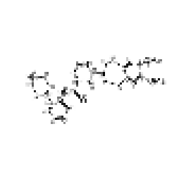 COc1cc2c(nc1OC)CCC(c1nccc(C(=O)Nc3cnccc3N3CCNCC3)n1)CC2